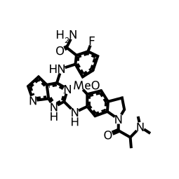 COc1cc2c(cc1Nc1nc(Nc3cccc(F)c3C(N)=O)c3ccnc-3[nH]1)N(C(=O)C(C)N(C)C)CC2